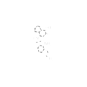 C=C/C=C\c1cccc(S(=O)(=O)Nc2cc(Cl)c(O)c3ccccc23)c1N